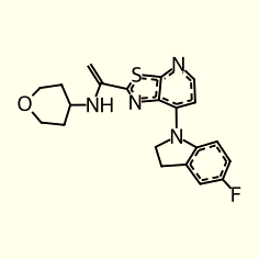 C=C(NC1CCOCC1)c1nc2c(N3CCc4cc(F)ccc43)ccnc2s1